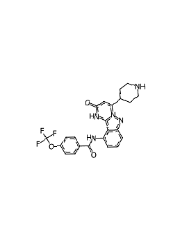 O=C(Nc1cccc2nn3c(C4CCNCC4)cc(=O)[nH]c3c12)c1ccc(OC(F)(F)F)cc1